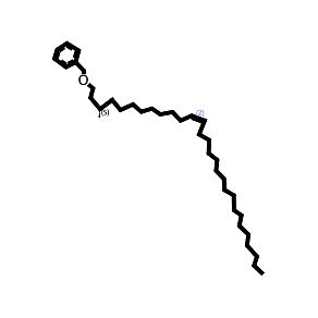 CCCCCCCCCCCCCCCC/C=C\CCCCCCCC[C@H](C)CCOCc1ccccc1